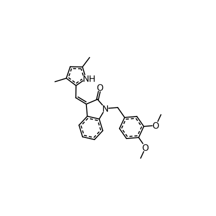 COc1ccc(CN2C(=O)C(=Cc3[nH]c(C)cc3C)c3ccccc32)cc1OC